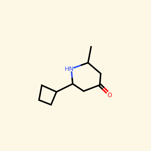 CC1CC(=O)CC(C2CCC2)N1